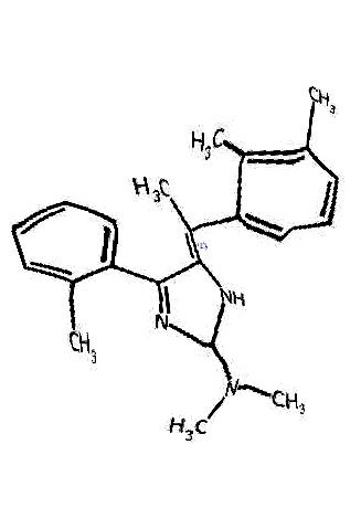 C/C(=C1/NC(N(C)C)N=C1c1ccccc1C)c1cccc(C)c1C